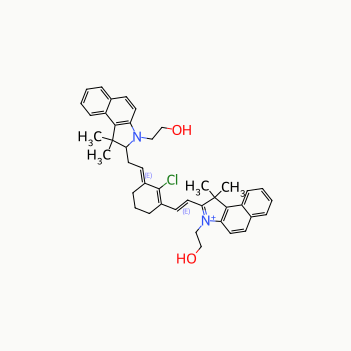 CC1(C)C(/C=C/C2=C(Cl)C(=C/CC3N(CCO)c4ccc5ccccc5c4C3(C)C)/CCC2)=[N+](CCO)c2ccc3ccccc3c21